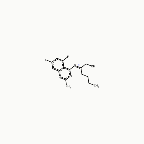 CCCC/C(CO)=N\c1nc(N)nc2cc(F)cc(F)c12